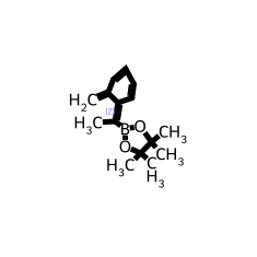 C=c1cccc/c1=C(/C)B1OC(C)(C)C(C)(C)O1